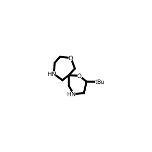 CC(C)(C)C1CNCC2(CNCCOC2)O1